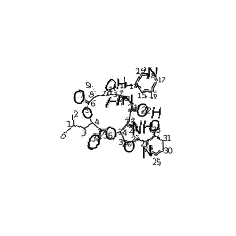 CC(C)CC1OC(=O)[C@H](C)[C@H](O)[C@H](Cc2cccnc2)NC(=O)[C@@H](NC(=O)c2ncccc2O)[C@@H](C)OC1=O